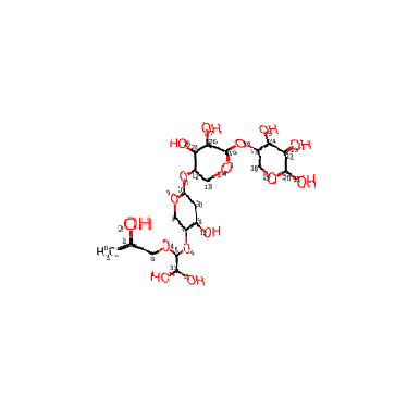 CC(O)COC(OC1COC(OC2COC(OC3COC(O)C(O)C3O)C(O)C2O)CC1O)C(O)O